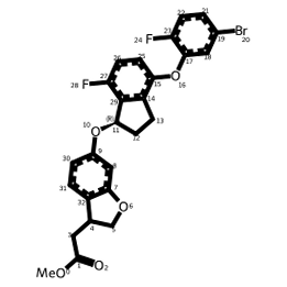 COC(=O)CC1COc2cc(O[C@@H]3CCc4c(Oc5cc(Br)ccc5F)ccc(F)c43)ccc21